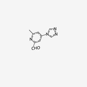 Cc1cc(-n2cnnc2)cc(C=O)n1